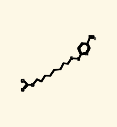 O=C(Cl)OCCCCCCCCSSc1ccc([N+](=O)[O-])cn1